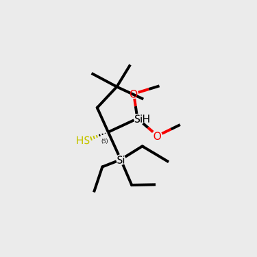 CC[Si](CC)(CC)[C@@](S)(CC(C)(C)C)[SiH](OC)OC